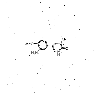 COc1ccc(-c2c[nH]c(=O)c(C#N)c2)cc1N